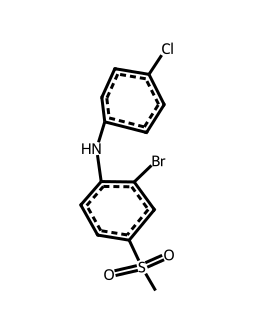 CS(=O)(=O)c1ccc(Nc2ccc(Cl)cc2)c(Br)c1